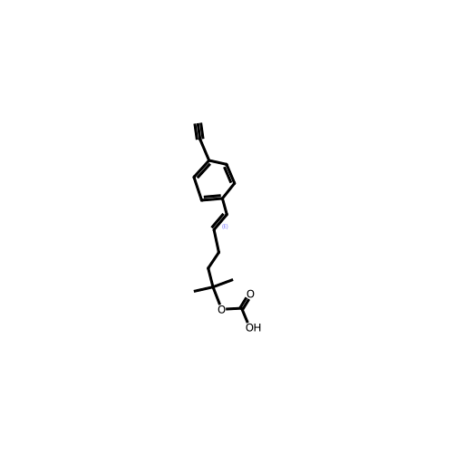 C#Cc1ccc(/C=C/CCC(C)(C)OC(=O)O)cc1